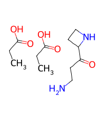 CCC(=O)O.CCC(=O)O.NCCC(=O)C1CCN1